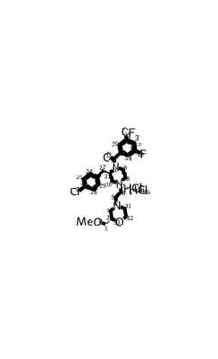 COC[C@@H]1CN(CCN2CCN(C(=O)c3cc(F)cc(C(F)(F)F)c3)[C@H](Cc3ccc(Cl)cc3)C2)CCO1.Cl.Cl